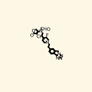 CC1=C(N(C=O)CCC2CCN(CCc3ccc4c(c3)Cn3nnnc3-4)C[C@@H]2F)COC1=O